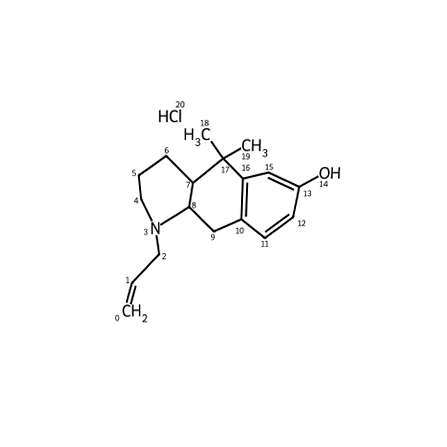 C=CCN1CCCC2C1Cc1ccc(O)cc1C2(C)C.Cl